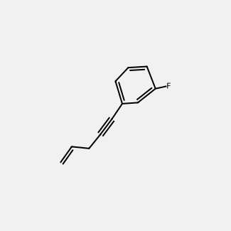 C=CCC#Cc1cccc(F)c1